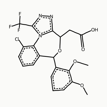 COc1cccc(C2OC(CC(=O)O)c3nnc(C(F)(F)F)n3-c3c(Cl)cccc32)c1OC